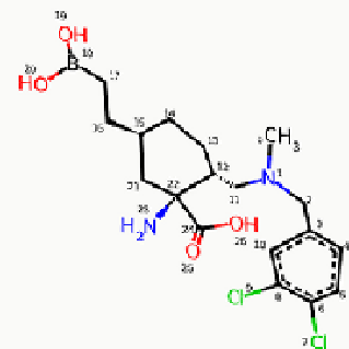 CN(Cc1ccc(Cl)c(Cl)c1)C[C@H]1CC[C@H](CCB(O)O)C[C@@]1(N)C(=O)O